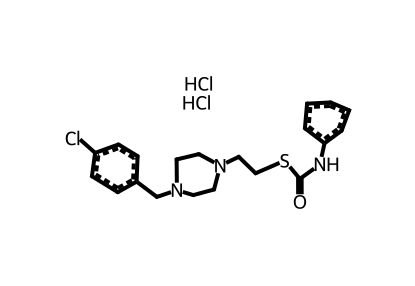 Cl.Cl.O=C(Nc1ccccc1)SCCN1CCN(Cc2ccc(Cl)cc2)CC1